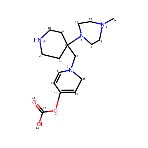 CN1CCN(C2(CN3C=CC(OC(=O)O)=CC3)CCNCC2)CC1